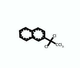 ClC(Cl)(Cl)C(Cl)(Cl)c1ccc2ccc[c]c2c1